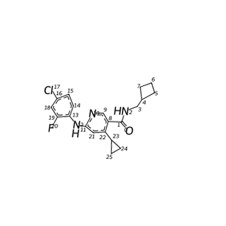 O=C(NCC1CCC1)c1cnc(Nc2ccc(Cl)cc2F)cc1C1CC1